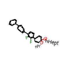 CCCCCCCOC1(OCCC)C=CC(c2ccc(-c3ccc(-c4ccccc4)cc3)c(F)c2F)=CC1